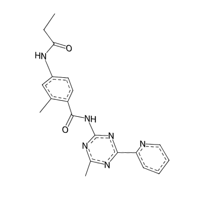 CCC(=O)Nc1ccc(C(=O)Nc2nc(C)nc(-c3ccccn3)n2)c(C)c1